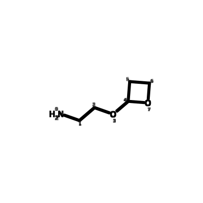 NCCOC1CCO1